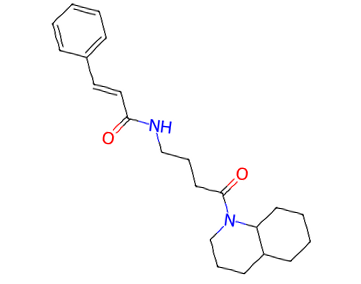 O=C(C=Cc1ccccc1)NCCCC(=O)N1CCCC2CCCCC21